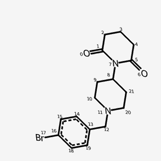 O=C1CCCC(=O)N1C1CCN(Cc2ccc(Br)cc2)CC1